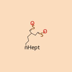 CCCCCCCCCCC(C=S=O)CC=S=O